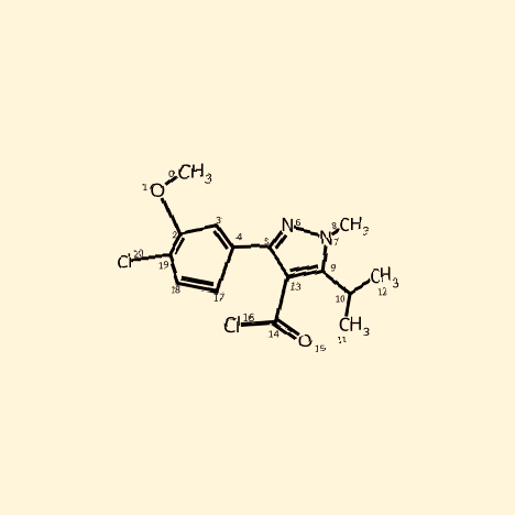 COc1cc(-c2nn(C)c(C(C)C)c2C(=O)Cl)ccc1Cl